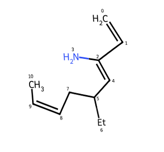 C=C/C(N)=C/C(CC)C/C=C\C